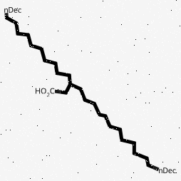 CCCCCCCCCCCCCCCCCCCCCCC(CCCCCCCCCCCCCCCCCCCC)CC(=O)O